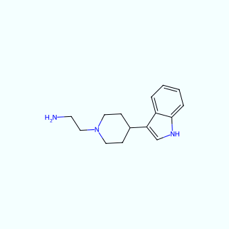 NCCN1CCC(c2c[nH]c3ccccc23)CC1